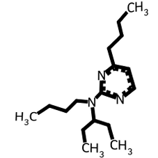 CCCCc1ccnc(N(CCCC)C(CC)CC)n1